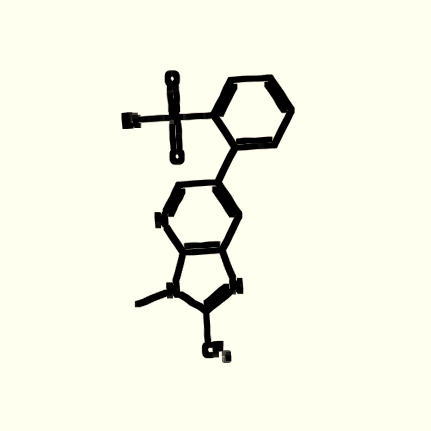 CCS(=O)(=O)c1ccccc1-c1cnc2c(c1)nc(C(F)(F)F)n2C